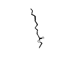 CCCCCCCC[CH]C(=O)OCC